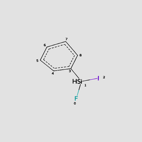 F[SiH](I)c1ccccc1